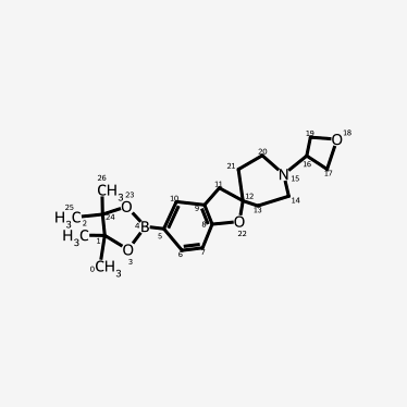 CC1(C)OB(c2ccc3c(c2)CC2(CCN(C4COC4)CC2)O3)OC1(C)C